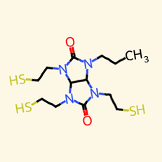 CCCN1C(=O)N(CCS)C2C1N(CCS)C(=O)N2CCS